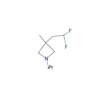 CC(C)N1CC(C)(CC(F)F)C1